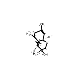 CC1=C[C@H]2OC[C@](C)(O)[C@@H]3CC[C@H](C)[C@]32CC1